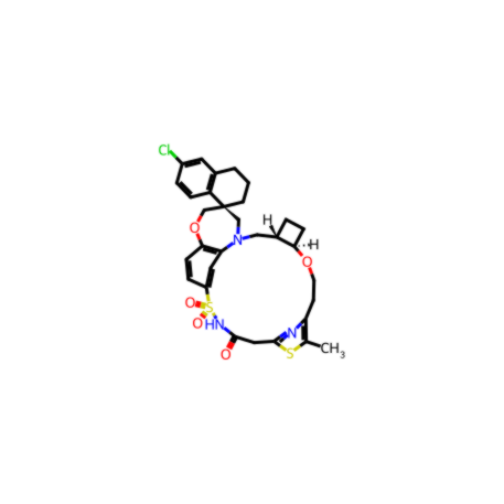 Cc1sc2nc1CCO[C@@H]1CC[C@H]1CN1C[C@@]3(CCCc4cc(Cl)ccc43)COc3ccc(cc31)S(=O)(=O)NC(=O)C2